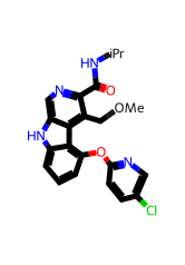 COCc1c(C(=O)NC(C)C)ncc2[nH]c3cccc(Oc4ccc(Cl)cn4)c3c12